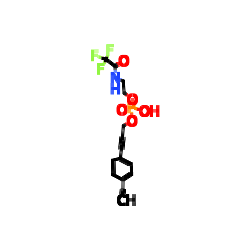 C#Cc1ccc(C#CCOP(=O)(O)OCCNC(=O)C(F)(F)F)cc1